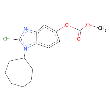 COC(=O)Oc1ccc2c(c1)nc(Cl)n2C1CCCCCC1